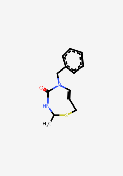 CC1NC(=O)N(Cc2ccccc2)/C=C/CS1